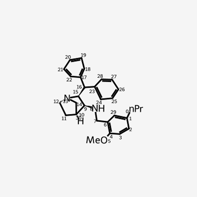 CCCc1ccc(OC)c(CN[C@H]2[C@H]3CC[N@@](C3)[C@H]2C(c2ccccc2)c2ccccc2)c1